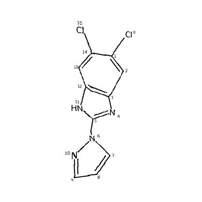 Clc1cc2nc(-n3cccn3)[nH]c2cc1Cl